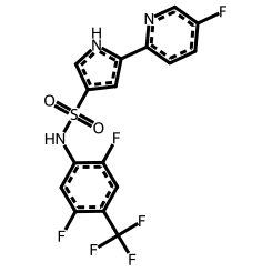 O=S(=O)(Nc1cc(F)c(C(F)(F)F)cc1F)c1c[nH]c(-c2ccc(F)cn2)c1